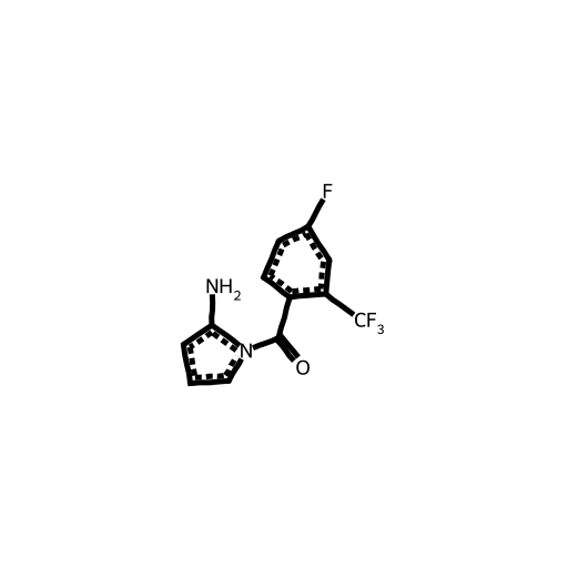 Nc1cccn1C(=O)c1ccc(F)cc1C(F)(F)F